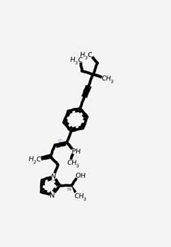 C=C(/C=C(\PC)c1ccc(C#CC(C)(CC)CC)cc1)Cn1ccnc1[C@H](C)O